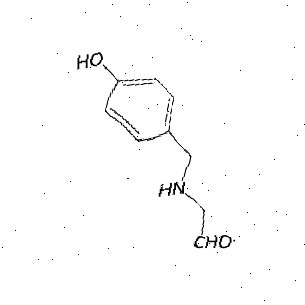 O=[C]CNCc1ccc(O)cc1